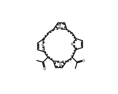 CC(=O)c1c2nc(cc3ccc(cc4nc(c(C(C)=O)c5ccc1[nH]5)C=C4)[nH]3)C=C2